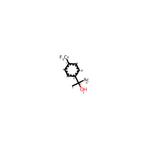 CC(=O)C(C)(O)c1ccc(C(F)(F)F)cc1